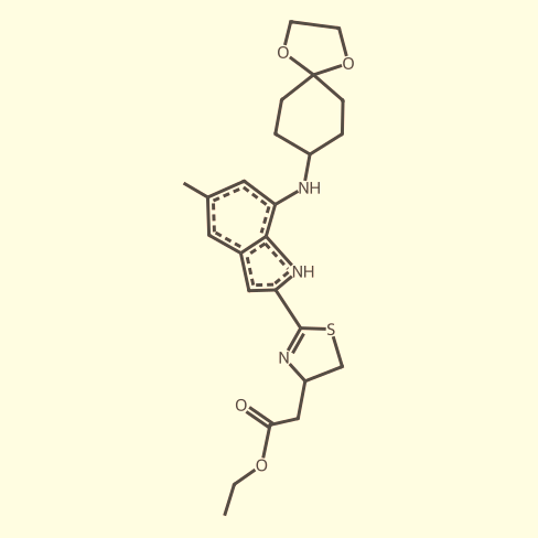 CCOC(=O)CC1CSC(c2cc3cc(C)cc(NC4CCC5(CC4)OCCO5)c3[nH]2)=N1